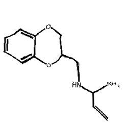 C=CC(N)NCC1COc2ccccc2O1